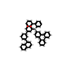 c1ccc(-c2ccccc2N(c2cccc(-c3cccc(-c4cccc5ccccc45)c3)c2)c2ccc3c4ccccc4c4ccccc4c3c2)cc1